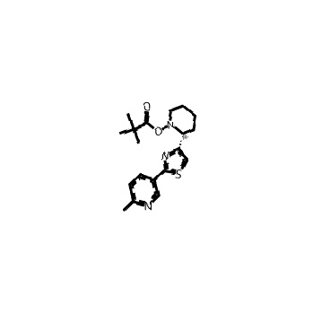 Cc1ccc(-c2nc([C@H]3CCCCN3OC(=O)C(C)(C)C)cs2)cn1